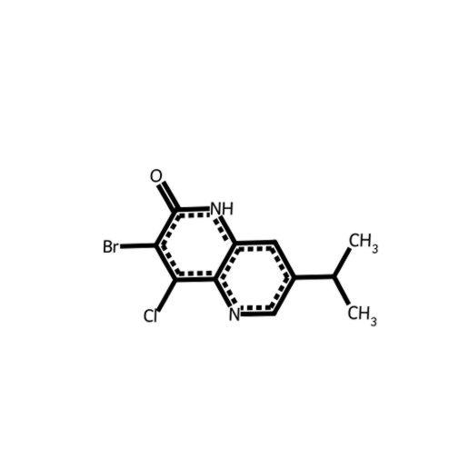 CC(C)c1cnc2c(Cl)c(Br)c(=O)[nH]c2c1